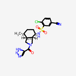 C[C@@H]1CC[C@H](NS(=O)(=O)c2cc(C#N)ccc2Cl)[C@@H]2CN(C(=O)c3cnn[nH]3)C[C@@H]21